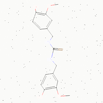 COc1cc(CNC(=S)NCc2ccc(O)c(OC)c2)ccc1O